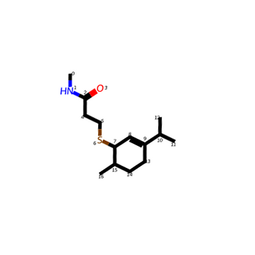 CNC(=O)CCSC1C=C(C(C)C)CCC1C